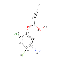 CC#CC(OC)Oc1cc(N)c(F)cc1Cl